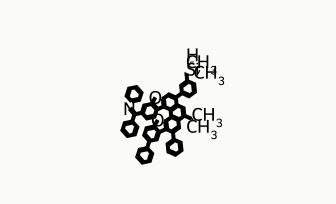 CC(C)c1cc2c(-c3cccc(C[SiH](C)C)c3)cc3oc4cc(/C(=N\c5ccccc5)c5ccccc5)ccc4c3c2c2c1cc(-c1ccccc1)c1c3cc(-c4ccccc4)ccc3oc12